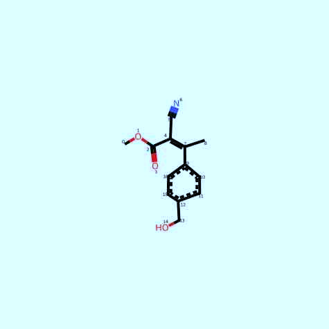 COC(=O)/C(C#N)=C(/C)c1ccc(CO)cc1